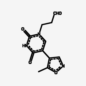 Cc1oncc1-c1cn(CCC=O)c(=O)[nH]c1=O